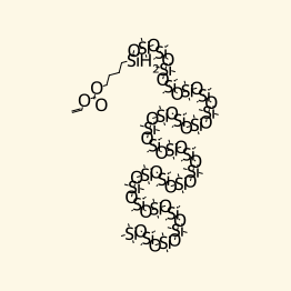 C=COC(=O)OCCCC[SiH2]O[Si](C)(C)O[Si](C)(C)O[Si](C)(C)O[Si](C)(C)O[Si](C)(C)O[Si](C)(C)O[Si](C)(C)O[Si](C)(C)O[Si](C)(C)O[Si](C)(C)O[Si](C)(C)O[Si](C)(C)O[Si](C)(C)O[Si](C)(C)O[Si](C)(C)O[Si](C)(C)O[Si](C)(C)O[Si](C)(C)O[Si](C)(C)O[Si](C)(C)O[Si](C)(C)O[Si](C)(C)O[Si](C)(C)O[Si](C)(C)O[Si](C)(C)O[Si](C)(C)C